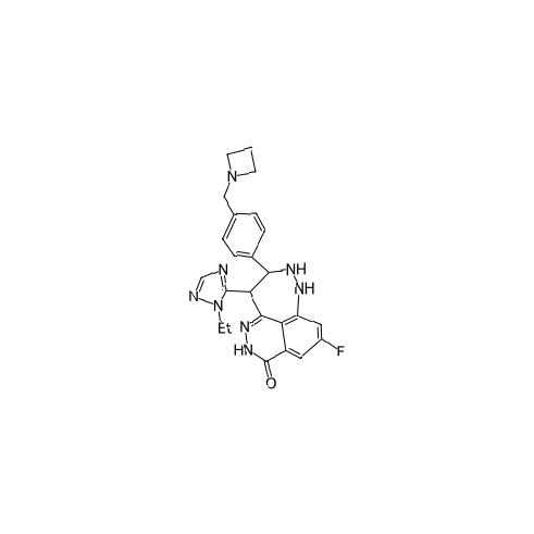 CCn1ncnc1C1c2n[nH]c(=O)c3cc(F)cc(c23)NNC1c1ccc(CN2CCC2)cc1